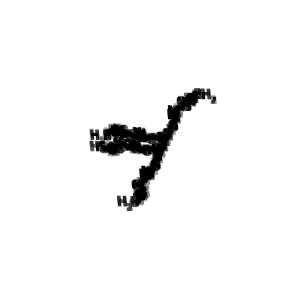 BCc1ccc(SC(=O)CCc2cn(CCOCCOCC(COCC(COCCOCCn3cc(CCC(=O)Sc4ccc(CB)cc4)nn3)OCCOCCn3cc(CCC(=O)Sc4ccc(CS)cc4)nn3)OCCOCCn3cc(CCC(=O)Sc4ccc(CB)cc4)nn3)nn2)cc1